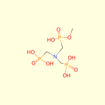 COP(=O)(O)CN(CP(=O)(O)O)CP(=O)(O)O